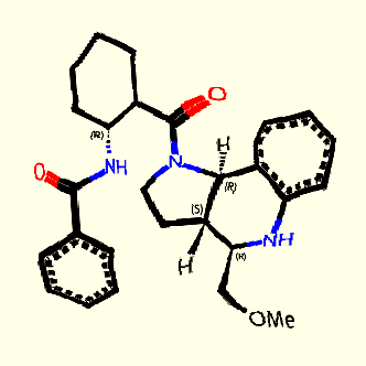 COC[C@@H]1Nc2ccccc2[C@H]2[C@H]1CCN2C(=O)C1CCCC[C@H]1NC(=O)c1ccccc1